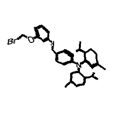 CC1CCC(C(C)C)C(N(c2ccc(/C=N/c3cccc(OCBr)c3)cc2)C2CC(C)CCC2C(C)C)C1